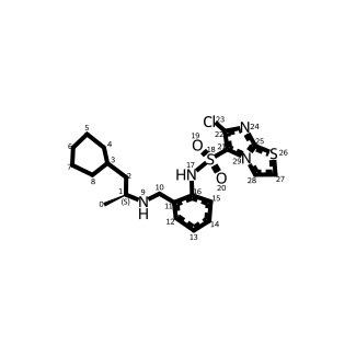 C[C@@H](CC1CCCCC1)NCc1ccccc1NS(=O)(=O)c1c(Cl)nc2sccn12